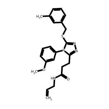 C=CCNC(=O)CCc1nnc(SCc2cccc(C)c2)n1-c1cccc(OC)c1